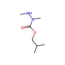 CNN(C)C(=O)OCC(C)C